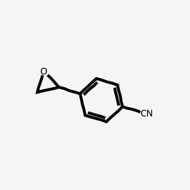 N#Cc1ccc(C2CO2)cc1